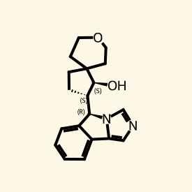 O[C@H]1[C@H]([C@@H]2c3ccccc3-c3cncn32)CCC12CCOCC2